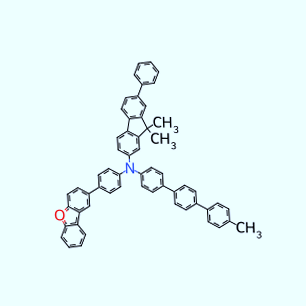 Cc1ccc(-c2ccc(-c3ccc(N(c4ccc(-c5ccc6oc7ccccc7c6c5)cc4)c4ccc5c(c4)C(C)(C)c4cc(-c6ccccc6)ccc4-5)cc3)cc2)cc1